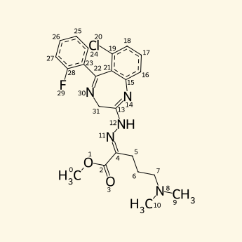 COC(=O)/C(CCCN(C)C)=N/NC1=Nc2cccc(Cl)c2C(c2ccccc2F)=NC1